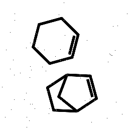 C1=CC2CCC1C2.C1=CCCCC1